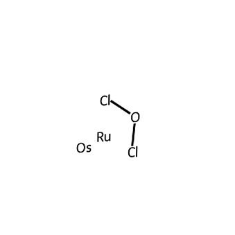 ClOCl.[Os].[Ru]